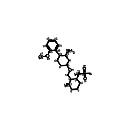 BC1C[C@@H](OC[C@@H]2NCCC[C@@H]2NS(C)(=O)=O)CC[C@H]1c1ccccc1OCC